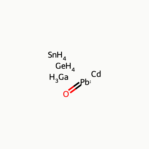 [Cd].[GaH3].[GeH4].[O]=[Pb].[SnH4]